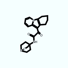 O=C(NC12CCN(CC1)CC2)C(=O)c1c2c(n3ccccc13)CCCC2